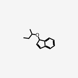 CCC(C)OC1C=Cc2ccccc21